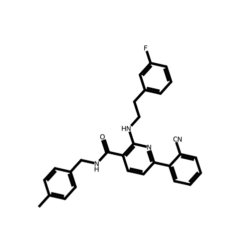 Cc1ccc(CNC(=O)c2ccc(-c3ccccc3C#N)nc2NCCc2cccc(F)c2)cc1